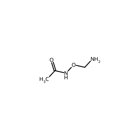 CC(=O)NOCN